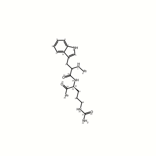 CC(C)NC(Cc1c[nH]c2ccccc12)C(=O)N[C@@H](CCCNC(N)=O)C(=O)C(C)C